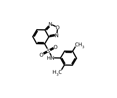 Cc1ccc(C)c(NS(=O)(=O)c2cccc3nonc23)c1